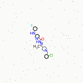 C/C(=N\NC(=O)c1ccc(Nc2cccc(F)c2)cn1)C1CCN(Cc2ccccc2Cl)CC1